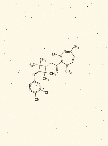 C=C1C=CC(C)=NC(CC)=C1C(=O)C[C@H]1C(C)(C)[C@H](Oc2ccc(C#N)c(Cl)c2)C1(C)C